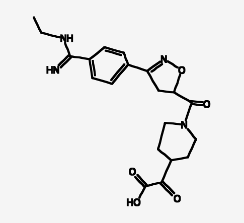 CCNC(=N)c1ccc(C2=NOC(C(=O)N3CCC(C(=O)C(=O)O)CC3)C2)cc1